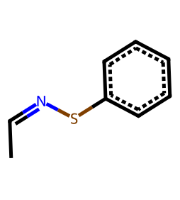 C/C=N\Sc1ccccc1